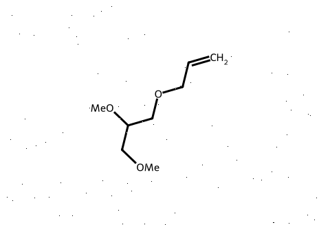 C=CCOCC(COC)OC